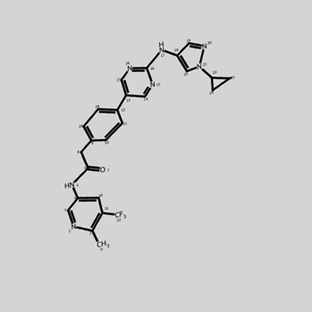 Cc1ncc(NC(=O)Cc2ccc(-c3cnc(Nc4cnn(C5CC5)c4)nc3)cc2)cc1C(F)(F)F